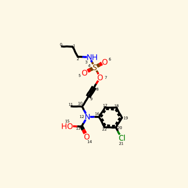 CCCNS(=O)(=O)OC#CC(C)N(C(=O)O)c1cccc(Cl)c1